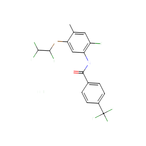 Cc1cc(F)c(NC(=O)c2ccc(C(F)(F)F)cc2)cc1SC(F)C(F)F.Cl